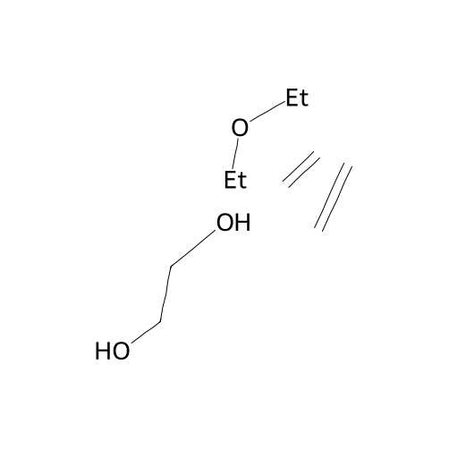 C=C.C=C.CCOCC.OCCO